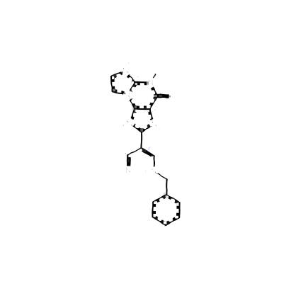 CCCn1c(=O)c2[nH]c(/C(C=N)=C/NCc3ccccc3)nc2n2ccnc12